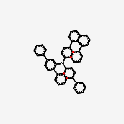 c1ccc(-c2ccc(N(c3ccc(-c4cccc5cccc(-c6ccccc6)c45)cc3)c3cc(-c4ccccc4)ccc3-c3ccccc3)cc2)cc1